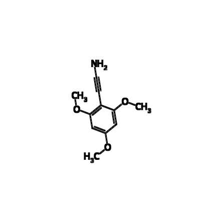 COc1cc(OC)c(C#CN)c(OC)c1